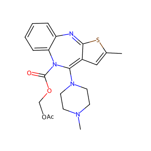 CC(=O)OCOC(=O)N1C(N2CCN(C)CC2)=c2cc(C)sc2=Nc2ccccc21